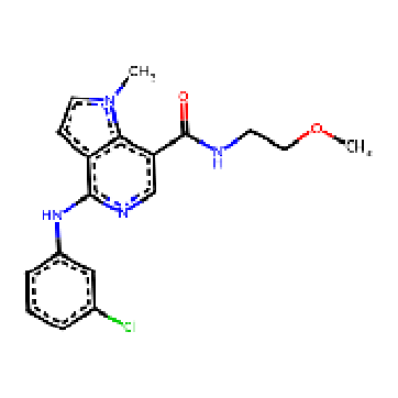 COCCNC(=O)c1cnc(Nc2cccc(Cl)c2)c2ccn(C)c12